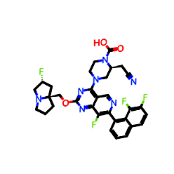 N#CC[C@H]1CN(c2nc(OC[C@@]34CCCN3C[C@H](F)C4)nc3c(F)c(-c4cccc5ccc(F)c(F)c45)ncc23)CCN1C(=O)O